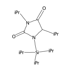 CC(C)C1C(=O)N(C(C)C)C(=O)N1[Si](C(C)C)(C(C)C)C(C)C